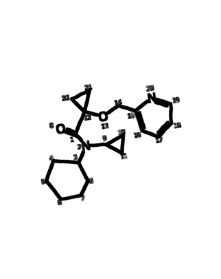 O=C(N(C1CCCCC1)C1CC1)C1(OCc2ccccn2)CC1